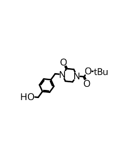 CC(C)(C)OC(=O)N1CCN(Cc2ccc(CO)cc2)C(=O)C1